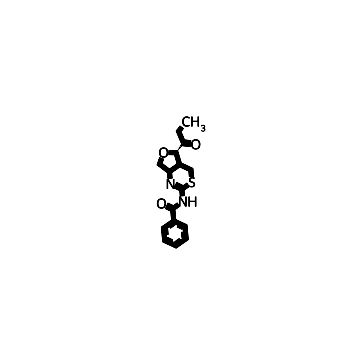 CCC(=O)[C@H]1OCC2N=C(NC(=O)c3ccccc3)SCC21